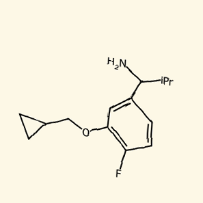 CC(C)C(N)c1ccc(F)c(OCC2CC2)c1